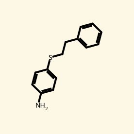 Nc1ccc(SCCc2ccccc2)cc1